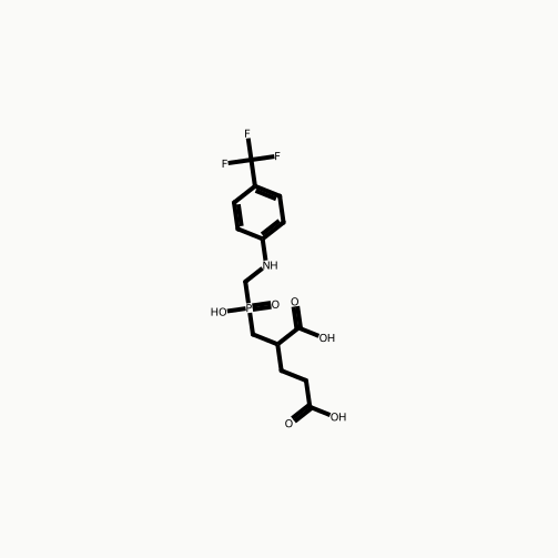 O=C(O)CCC(CP(=O)(O)CNc1ccc(C(F)(F)F)cc1)C(=O)O